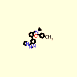 Cc1ccc(C(=O)N(Cc2cccc(-c3ccc4ncnc(N5CCCC5)c4c3)c2)C2CC2)cc1